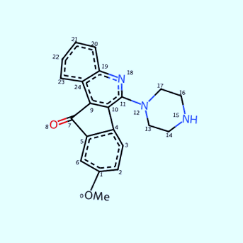 COc1ccc2c(c1)C(=O)c1c-2c(N2CCNCC2)nc2ccccc12